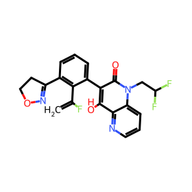 C=C(F)c1c(C2=NOCC2)cccc1-c1c(O)c2ncccc2n(CC(F)F)c1=O